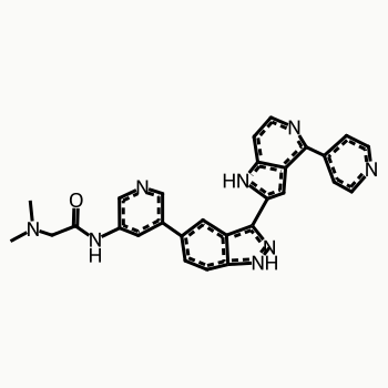 CN(C)CC(=O)Nc1cncc(-c2ccc3[nH]nc(-c4cc5c(-c6ccncc6)nccc5[nH]4)c3c2)c1